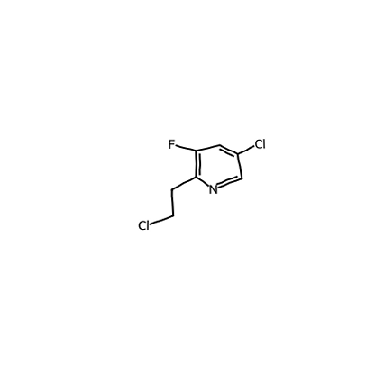 Fc1cc(Cl)cnc1CCCl